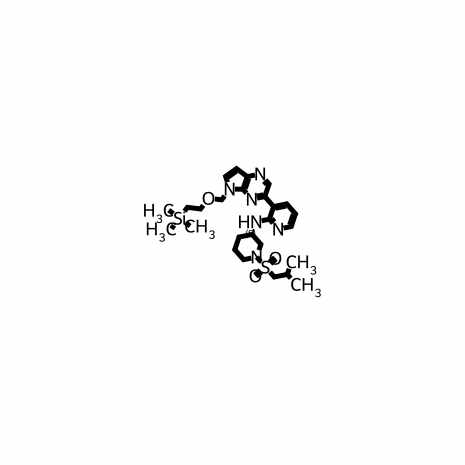 CC(C)CS(=O)(=O)N1CCC[C@H](Nc2ncccc2-c2cnc3ccn(COCC[Si](C)(C)C)c3n2)C1